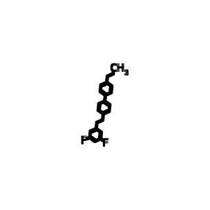 CCCc1ccc(-c2ccc(CCc3cc(F)cc(F)c3)cc2)cc1